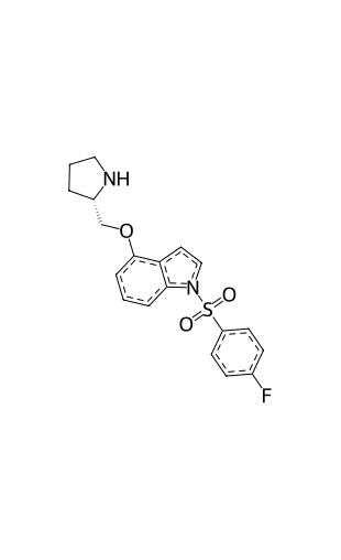 O=S(=O)(c1ccc(F)cc1)n1ccc2c(OC[C@@H]3CCCN3)cccc21